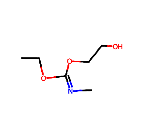 CCOC(=NC)OCCO